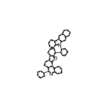 c1ccc(-c2nc3ccccc3c3c2ccc2c4cccc(-c5ccccc5-n5c6ccccc6c6cc7ccccc7cc65)c4oc23)cc1